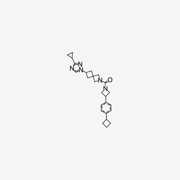 O=C(N1CC(c2ccc(C3CCC3)cc2)C1)N1CC2(CC(n3cnc(C4CC4)n3)C2)C1